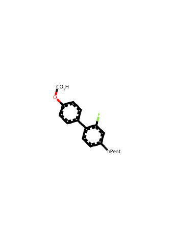 CCCCCc1ccc(-c2ccc(OC(=O)O)cc2)c(F)c1